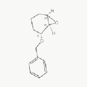 c1ccc(CO[C@@H]2CCC[C@H]3O[C@@H]23)cc1